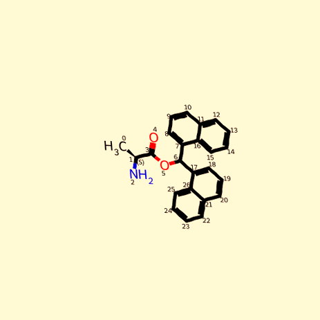 C[C@H](N)C(=O)OC(c1cccc2ccccc12)c1cccc2ccccc12